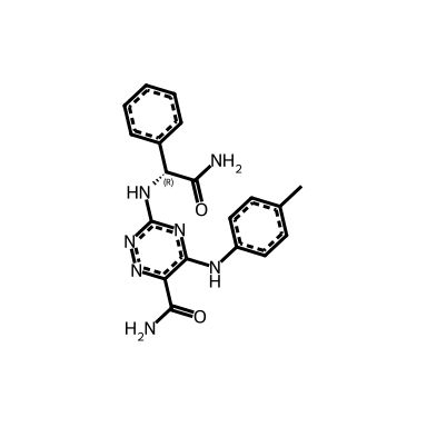 Cc1ccc(Nc2nc(N[C@@H](C(N)=O)c3ccccc3)nnc2C(N)=O)cc1